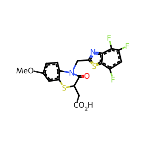 COc1ccc2c(c1)SC(CC(=O)O)C(=O)N2Cc1nc2c(F)c(F)cc(F)c2s1